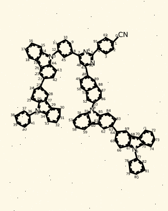 N#Cc1ccc(-c2nc(-c3cccc(-n4c5ccccc5c5cc(-c6ccc7c(c6)c6ccccc6n7-c6ccccc6)ccc54)c3)cc(-c3ccc4cc(-n5c6ccccc6c6cc(-c7ccc8c(c7)c7ccccc7n8-c7ccccc7)ccc65)ccc4c3)n2)cc1